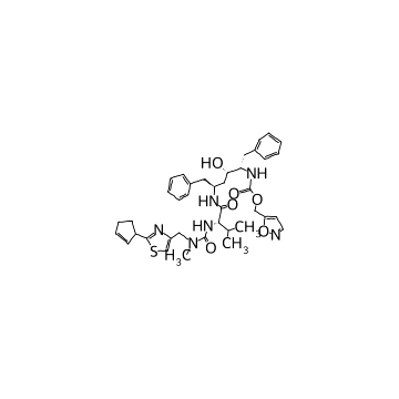 CC(C)[C@H](NC(=O)N(C)Cc1csc(C2C=CCC2)n1)C(=O)N[C@@H](Cc1ccccc1)C[C@H](O)[C@H](Cc1ccccc1)NC(=O)OCc1ccno1